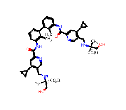 CCOC(=O)[C@@](C)(CO)NCc1cnc(C(=O)Nc2cccc(-c3cccc(NC(=O)c4cc(C5CC5)c(CN[C@](C)(CO)C(=O)OCC)cn4)c3C)c2C)cc1C1CC1